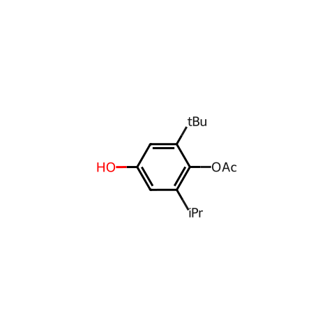 CC(=O)Oc1c(C(C)C)cc(O)cc1C(C)(C)C